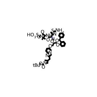 CC(C)(C)OC(=O)N1CC(Cc2cn3cc(OCC(O/N=C(\C(=O)N[C@@H]4C(=O)N(OS(=O)(=O)O)C4(C)C)c4csc(N)n4)C(=O)OC(c4ccccc4)c4ccccc4)ccc3n2)C1